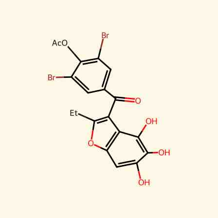 CCc1oc2cc(O)c(O)c(O)c2c1C(=O)c1cc(Br)c(OC(C)=O)c(Br)c1